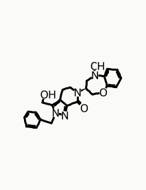 CN1C[C@H](N2CCc3c(nn(Cc4ccccc4)c3CO)C2=O)COc2ccccc21